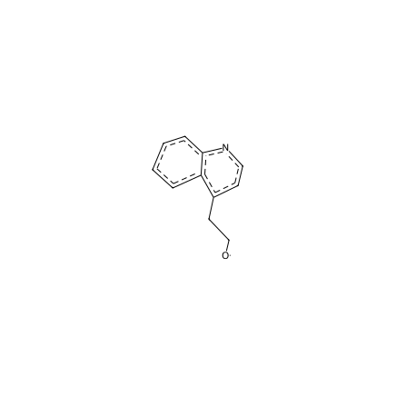 [O]CCc1ccnc2ccccc12